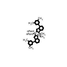 CCCCC[Si]1(CCCCC)C2=Cc3c(-c4cc(C)cc(C)c4)cccc3[CH]2[Hf]([CH3])([CH3])[CH]2C1=Cc1c(-c3cc(C)cc(C)c3)cccc12